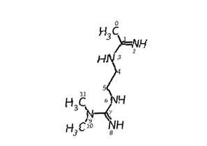 CC(=N)NCCNC(=N)N(C)C